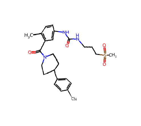 Cc1ccc(NC(=O)NCCCS(C)(=O)=O)cc1C(=O)N1CCC(c2ccc(C#N)cc2)CC1